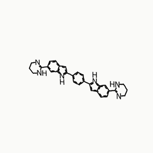 c1cc2cc(-c3ccc(-c4cc5ccc(C6=NCCCN6)cc5[nH]4)cc3)[nH]c2cc1C1=NCCCN1